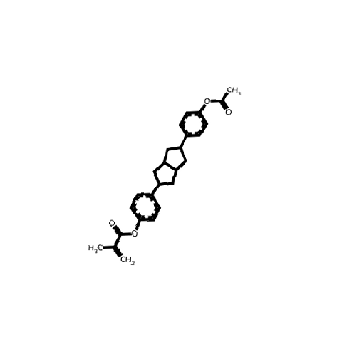 C=C(C)C(=O)Oc1ccc(C2CC3CC(c4ccc(OC(C)=O)cc4)CC3C2)cc1